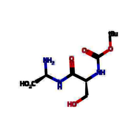 CC(C)(C)OC(=O)N[C@H](CO)C(=O)N[C@H](N)C(=O)O